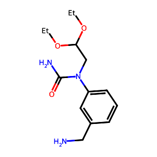 CCOC(CN(C(N)=O)c1cccc(CN)c1)OCC